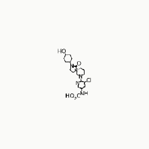 O=C(O)Nc1cnc(N2CCC[C@@]3(CCN(C4CCC(O)CC4)C3=O)C2)c(Cl)c1